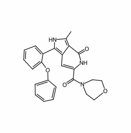 Cc1[nH]c(-c2ccccc2Oc2ccccc2)c2cc(C(=O)N3CCOCC3)[nH]c(=O)c12